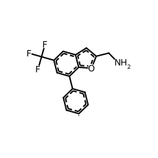 NCc1cc2cc(C(F)(F)F)cc(-c3cc[c]cc3)c2o1